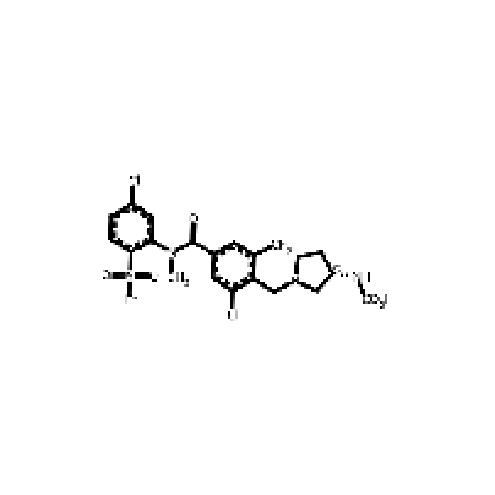 CCS(=O)(=O)c1ccc(Cl)cc1N(C)C(=O)c1cc(Cl)c(CN2CC[C@H](NC(=O)O)C2)c(C(F)(F)F)c1